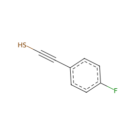 Fc1ccc(C#CS)cc1